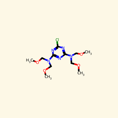 COCN(COC)c1nc(Cl)nc(N(COC)COC)n1